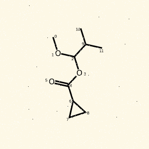 COC(OC(=O)C1CC1)C(C)C